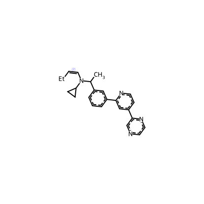 CC/C=C\N(C1CC1)C(C)c1cccc(-c2cc(-c3cnccn3)ccn2)c1